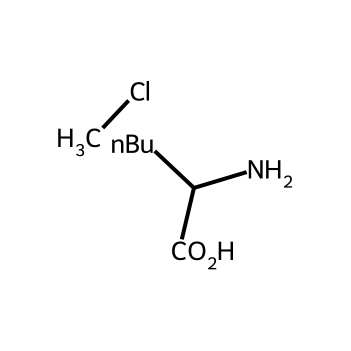 CCCCC(N)C(=O)O.CCl